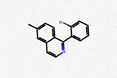 Cc1ccc2c(-c3ccccc3Br)nccc2c1